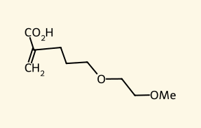 C=C(CCCOCCOC)C(=O)O